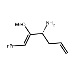 C=CC[C@@H](N)/C(=C/CCC)OC